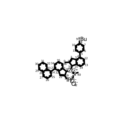 CC1=Cc2c(-c3ccc(C(C)(C)C)cc3)cccc2[CH]1[Zr+2]([CH]1C(C(C)C)=Cc2c(-c3cccc4ccccc34)cccc21)=[Si](C)C.[Cl-].[Cl-]